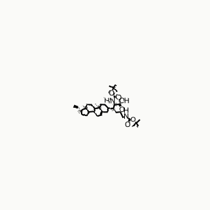 C#C[C@H]1CCC2C3CC=C4CC([C@H](CCCNC(=O)OC(C)(C)C)[C@H](NC(=O)OC(C)(C)C)C(=O)O)CC[C@]4(C)C3CC[C@@]21C